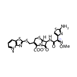 CO/N=C(\C(=O)NC1C(=O)N2C(C(=O)[O-])=C(CSc3nc4c(ccc[n+]4C)s3)CS[C@@H]12)c1csc(N)n1